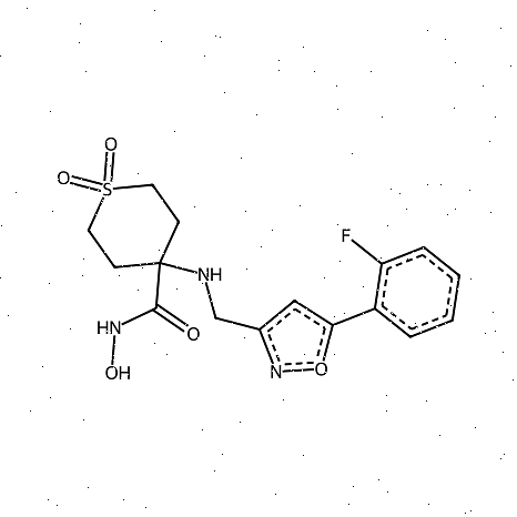 O=C(NO)C1(NCc2cc(-c3ccccc3F)on2)CCS(=O)(=O)CC1